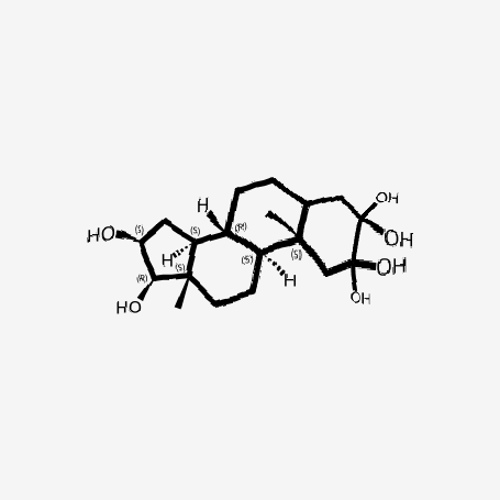 C[C@]12CC[C@H]3[C@@H](CCC4CC(O)(O)C(O)(O)C[C@@]43C)[C@@H]1C[C@H](O)[C@@H]2O